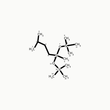 CC(C)CC[Si](C)(O[Si](C)(C)C)O[Si](C)(C)C